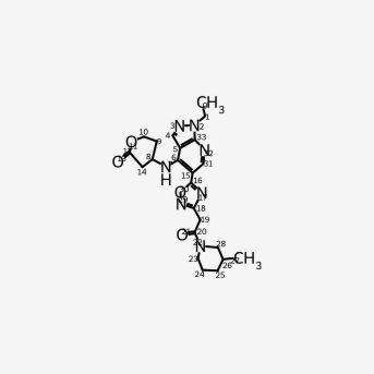 CCn1ncc2c(NC3CCOC(=O)C3)c(-c3nc(CC(=O)N4CCCC(C)C4)no3)cnc21